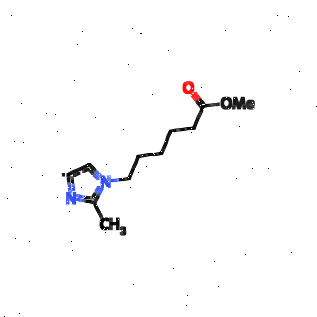 COC(=O)CCCCCn1c[c]nc1C